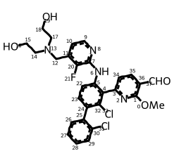 COc1nc(-c2c(Nc3nccc(CN(CCO)CCO)c3F)ccc(-c3ccccc3Cl)c2Cl)ccc1C=O